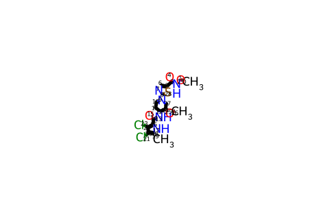 CONC(=O)c1cnc(N2CCC(NC(=O)c3[nH]c(C)c(Cl)c3Cl)C(OC)C2)s1